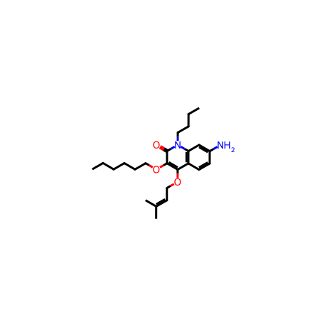 CCCCCCOc1c(OCC=C(C)C)c2ccc(N)cc2n(CCCC)c1=O